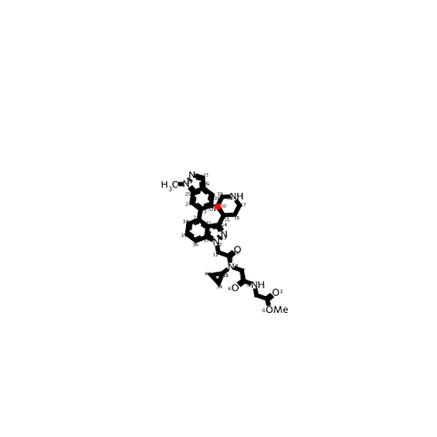 COC(=O)CNC(=O)CN(C(=O)Cn1nc(C2CCNCC2)c2c(-c3cc4c(cnn4C)cc3F)cccc21)C1CC1